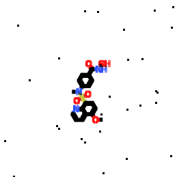 COc1ccc(S(=O)(=O)N(C)c2ccc(C(=O)NO)cc2)c2ncccc12